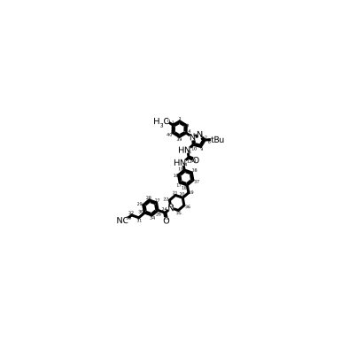 Cc1ccc(-n2nc(C(C)(C)C)cc2NC(=O)Nc2ccc(CC3CCN(C(=O)c4cccc(CCC#N)c4)CC3)cc2)cc1